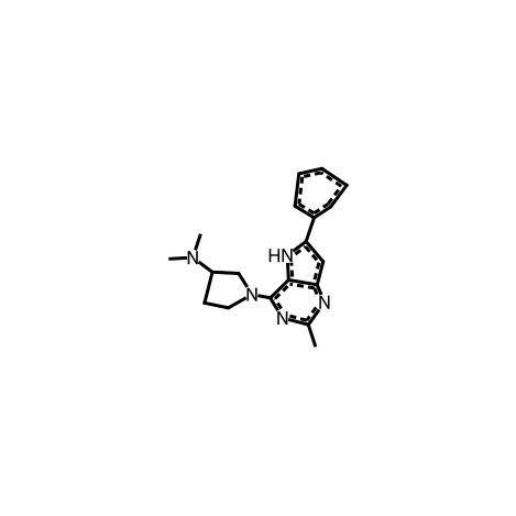 Cc1nc(N2CCC(N(C)C)C2)c2[nH]c(-c3ccccc3)cc2n1